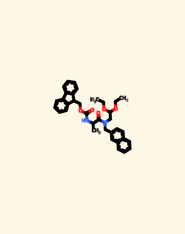 CCOC(CN(Cc1ccc2ccccc2c1)C(=O)C(C)NC(=O)OCC1c2ccccc2-c2ccccc21)OCC